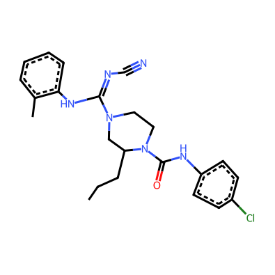 CCCC1CN(/C(=N\C#N)Nc2ccccc2C)CCN1C(=O)Nc1ccc(Cl)cc1